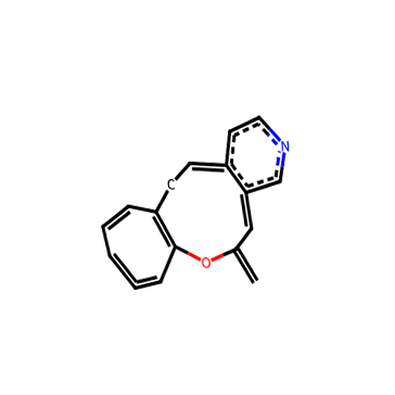 C=C1/C=c2/cncc/c2=C/CC2=C(C=C=CC=C2)O1